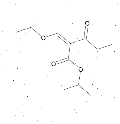 CCOC=C(C(=O)CC)C(=O)OC(C)C